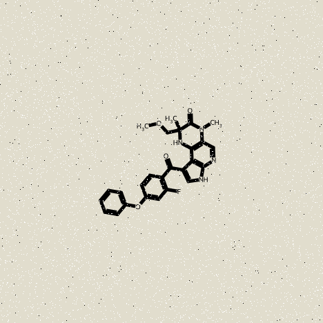 COCC1(C)Nc2c(cnc3[nH]cc(C(=O)c4ccc(Oc5ccccc5)cc4F)c23)N(C)C1=O